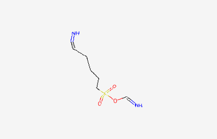 N=CCCCCS(=O)(=O)OC=N